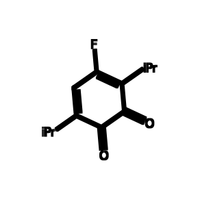 CC(C)C1=CC(F)=C(C(C)C)C(=O)C1=O